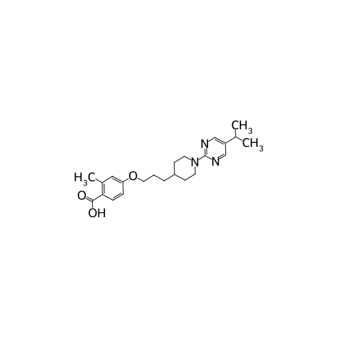 Cc1cc(OCCCC2CCN(c3ncc(C(C)C)cn3)CC2)ccc1C(=O)O